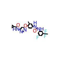 Cc1cc(NC(=O)Nc2cc(F)cc(C(C)(F)F)c2)ccc1Oc1cc(NC(=O)C2CC2)ncn1